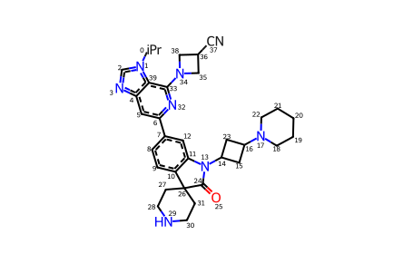 CC(C)n1cnc2cc(-c3ccc4c(c3)N(C3CC(N5CCCCC5)C3)C(=O)C43CCNCC3)nc(N3CC(C#N)C3)c21